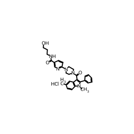 Cc1ccc2c(c1)c(C(=O)N1CCN(c3ccc(C(=O)NCCCO)cn3)CC1)c(-c1ccccc1)n2C.Cl